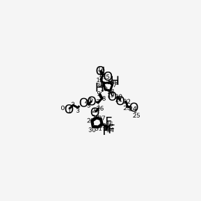 COCCOCO[C@H](/C=C/[C@@H]1[C@H]2CC(=O)O[C@H]2C[C@H]1OCOCCOC)COc1cccc(C(F)(F)F)c1